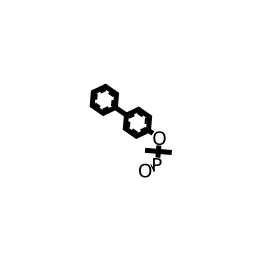 CC(C)(Oc1ccc(-c2ccccc2)cc1)P=O